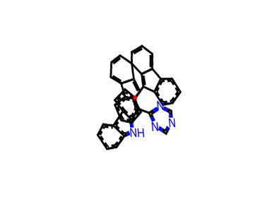 C1=CC2(C=CC=C3C2=C(c2ccc4c([nH]c5ccccc54)c2-c2ncncn2)c2ccccc23)C2=Cc3ccccc3C2=C1